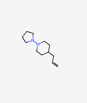 C=CCC1CCN(N2CCCC2)CC1